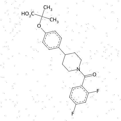 CC(C)(Oc1ccc(C2CCN(C(=O)c3ccc(F)cc3F)CC2)cc1)C(=O)O